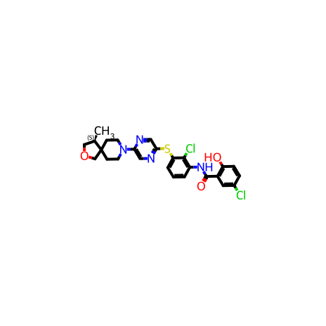 C[C@@H]1COCC12CCN(c1cnc(Sc3cccc(NC(=O)c4cc(Cl)ccc4O)c3Cl)cn1)CC2